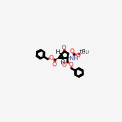 CC(C)(C)OC(=O)N[C@@]1(C(=O)OCc2ccccc2)CC(=O)[C@H]2[C@H](C(=O)OCc3ccccc3)[C@H]21